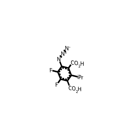 CC(C)c1c(C(=O)O)c(F)c(F)c(N=[N+]=[N-])c1C(=O)O